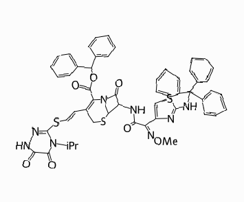 CO/N=C(/C(=O)NC1C(=O)N2C(C(=O)OC(c3ccccc3)c3ccccc3)=C(/C=C/Sc3n[nH]c(=O)c(=O)n3C(C)C)CSC12)c1csc(NC(c2ccccc2)(c2ccccc2)c2ccccc2)n1